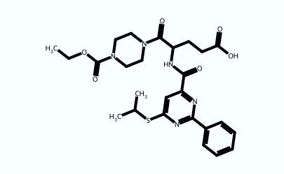 CCOC(=O)N1CCN(C(=O)C(CCC(=O)O)NC(=O)c2cc(SC(C)C)nc(-c3ccccc3)n2)CC1